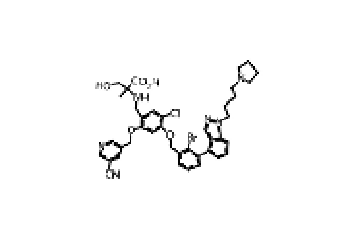 CC(CO)(NCc1cc(Cl)c(OCc2cccc(-c3cccc4c3cnn4CCCCN3CCCC3)c2Br)cc1OCc1cncc(C#N)c1)C(=O)O